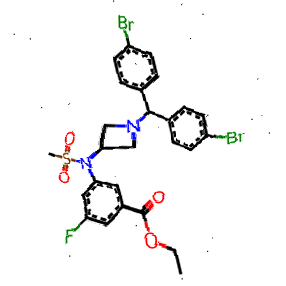 CCOC(=O)c1cc(F)cc(N(C2CN(C(c3ccc(Br)cc3)c3ccc(Br)cc3)C2)S(C)(=O)=O)c1